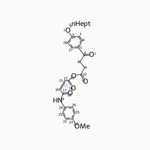 CCCCCCCOc1ccc(C(=O)CCC(=O)OC(=O)/C=C\C(=O)Nc2ccc(OC)cc2)cc1